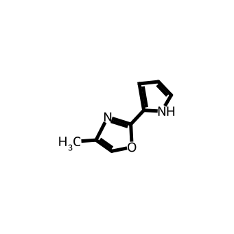 Cc1coc(-c2ccc[nH]2)n1